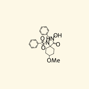 COC1CCC(C(=O)NO)(N(Cc2ccccc2)S(=O)(=O)c2ccccc2)CC1